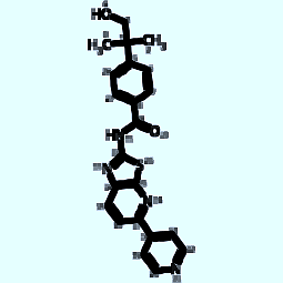 CC(C)(CO)c1ccc(C(=O)Nc2nc3ccc(-c4ccncc4)nc3s2)cc1